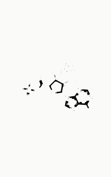 O=C(OP(=O)(O)O)[C@H]1O[C@@H](n2cnc3c(O)ncnc32)[C@H](O)[C@@H]1O.[NaH].[NaH]